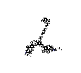 C/C=C1\C[C@H]2C=Nc3cc(OCc4cc(COc5cc6c(cc5OC)C(=O)N5C/C(=C/C)C[C@H]5C=N6)cc(OCCOCCOCCOCCC(=O)ON5C(=O)CCC5=O)c4)c(OC)cc3C(=O)N2C1